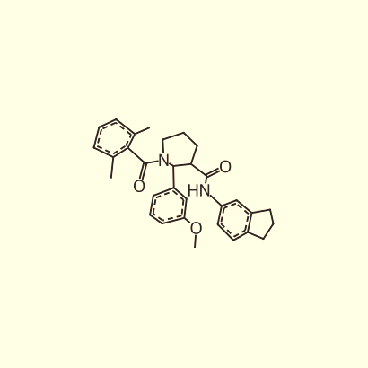 COc1cccc(C2C(C(=O)Nc3ccc4c(c3)CCC4)CCCN2C(=O)c2c(C)cccc2C)c1